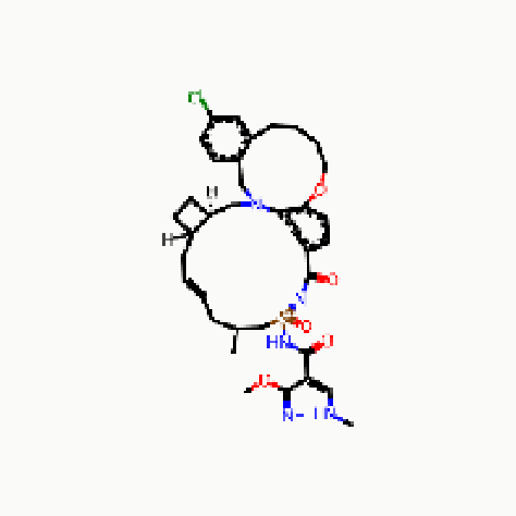 CN/C=C(\C(=N)OC)C(=O)NS1(=O)=NC(=O)c2ccc3c(c2)N(Cc2ccc(Cl)cc2CCCCO3)C[C@@H]2CC[C@H]2C/C=C/C[C@H](C)C1